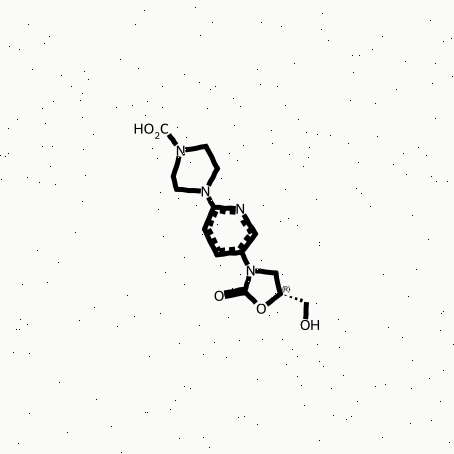 O=C(O)N1CCN(c2ccc(N3C[C@H](CO)OC3=O)cn2)CC1